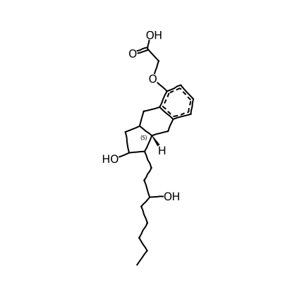 CCCCCC(O)CCC1C(O)CC2Cc3c(cccc3OCC(=O)O)C[C@@H]21